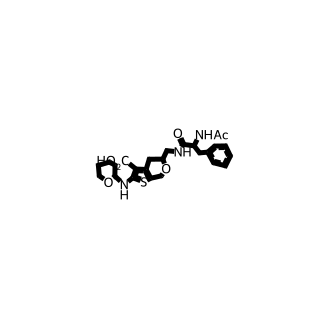 CC(=O)NC(Cc1ccccc1)C(=O)NCC1Cc2c(sc(NC3CCCCO3)c2C(=O)O)CO1